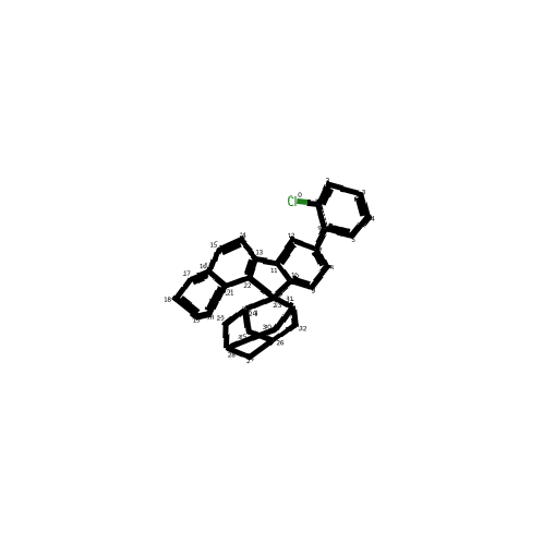 Clc1ccccc1-c1ccc2c(c1)-c1ccc3ccccc3c1C21C2CC3CC(C2)CC1C3